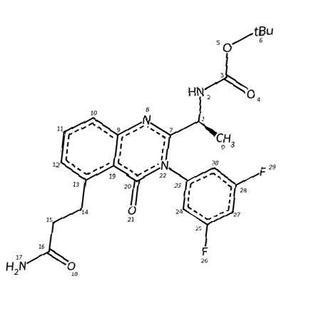 C[C@H](NC(=O)OC(C)(C)C)c1nc2cccc(CCC(N)=O)c2c(=O)n1-c1cc(F)cc(F)c1